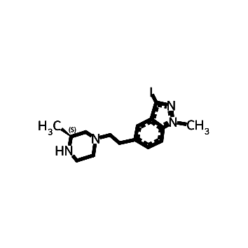 C[C@H]1CN(CCc2ccc3c(c2)c(I)nn3C)CCN1